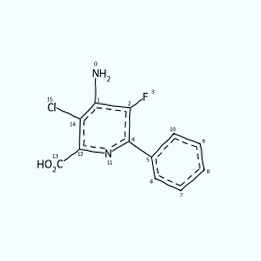 Nc1c(F)c(-c2ccccc2)nc(C(=O)O)c1Cl